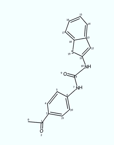 CC(=O)c1ccc(NC(=O)Nc2cc3ccccc3s2)cc1